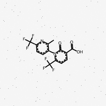 Cc1nc(C(F)(F)F)ccc1-n1c(C(F)(F)F)ccc(C(=O)O)c1=O